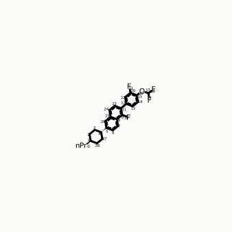 CCC[C@H]1CC[C@H](c2ccc3c(F)c(-c4ccc(OC(F)F)c(F)c4)ccc3c2)CC1